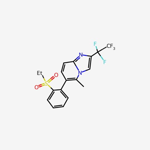 CCS(=O)(=O)c1ccccc1-c1ccc2nc(C(F)(F)C(F)(F)F)cn2c1C